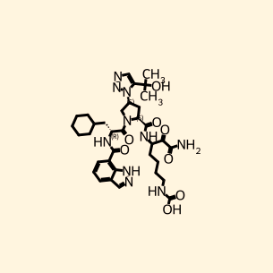 CC(C)(O)c1cnnn1[C@H]1C[C@@H](C(=O)NC(CCCCNC(=O)O)C(=O)C(N)=O)N(C(=O)[C@@H](CC2CCCCC2)NC(=O)c2cccc3cn[nH]c23)C1